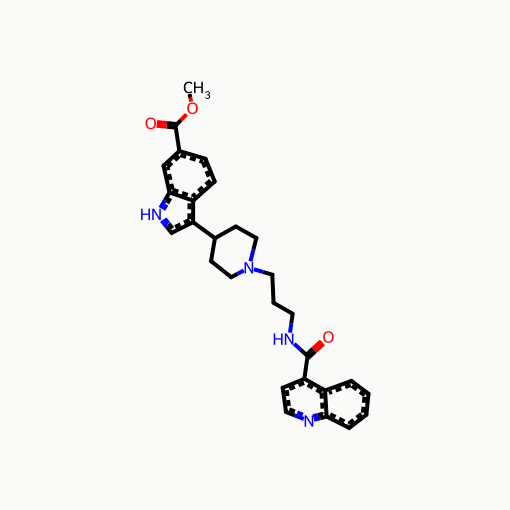 COC(=O)c1ccc2c(C3CCN(CCCNC(=O)c4ccnc5ccccc45)CC3)c[nH]c2c1